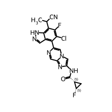 CC(C#N)c1c(F)c(Cl)c(-c2cn3cc(NC(=O)[C@@H]4C[C@@H]4F)nc3cn2)c2cn[nH]c12